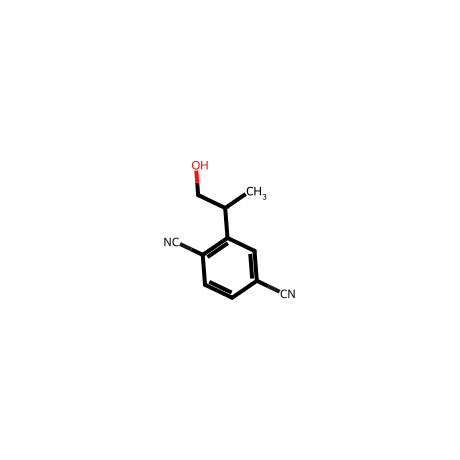 C[C](CO)c1cc(C#N)ccc1C#N